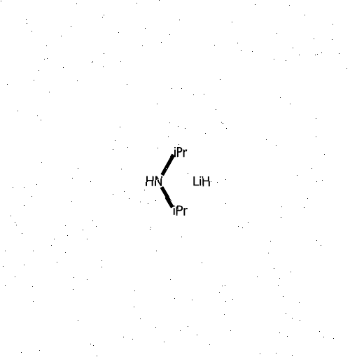 CC(C)NC(C)C.[LiH]